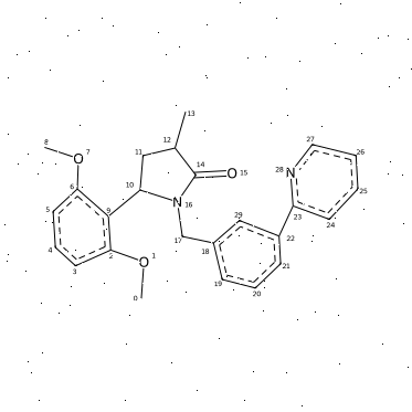 COc1cccc(OC)c1C1CC(C)C(=O)N1Cc1cccc(-c2ccccn2)c1